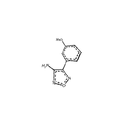 COc1cccc(-c2nonc2N)c1